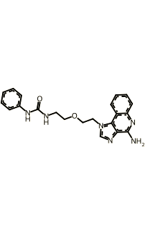 Nc1nc2ccccc2c2c1ncn2CCOCCNC(=O)Nc1ccccc1